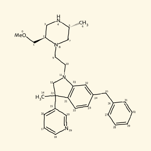 COC[C@H]1CN[C@H](C)CN1CCN1CC(C)(c2cccnc2)c2ccc(Cc3ccccc3)cc21